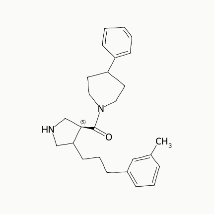 Cc1cccc(CCCC2CNC[C@H]2C(=O)N2CCC(c3ccccc3)CC2)c1